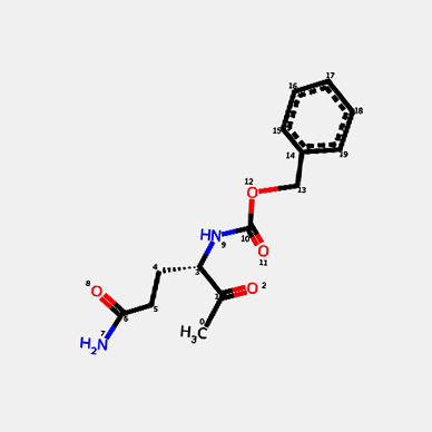 CC(=O)[C@H](CCC(N)=O)NC(=O)OCc1ccccc1